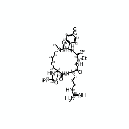 CC[C@@H]1NC(=O)[C@H](CCCNC(=N)N)NC(=O)[C@](C)(NC(=O)C(C)C)CCCCN(C)C(=O)[C@@H](c2ccc(Cl)cc2)NC1=O